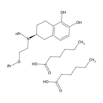 CCCCCC(=O)O.CCCCCC(=O)O.CCCN(CCOC(C)C)[C@H]1CCc2c(ccc(O)c2O)C1